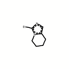 CCc1ncc2n1CCCC2